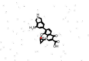 COc1c(-c2cc(N)c3c(c2)CNC3)ccc2c(=O)c(C(=O)O)cn(C3CC3)c12